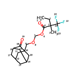 CCC(C)(C(=O)OCOCC12CC3CC(CC(C3)C1=O)C2)C(F)(F)F